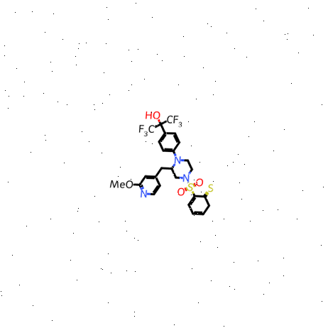 COc1cc(CC2CN(S(=O)(=O)C3=CC=CCC3=S)CCN2c2ccc(C(O)(C(F)(F)F)C(F)(F)F)cc2)ccn1